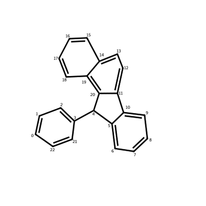 c1ccc(C2c3ccccc3-c3ccc4ccccc4c32)cc1